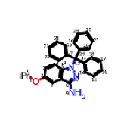 CC(C)Oc1ccc2c(c1)c(N)nn2C(c1ccccc1)(c1ccccc1)c1ccccc1